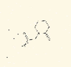 O=C(O)CN1CCC[CH]C1=O